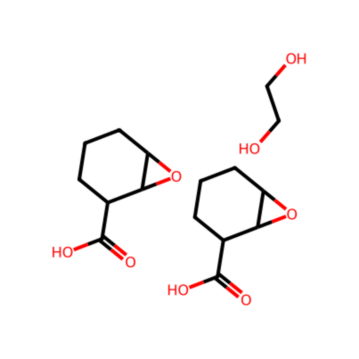 O=C(O)C1CCCC2OC21.O=C(O)C1CCCC2OC21.OCCO